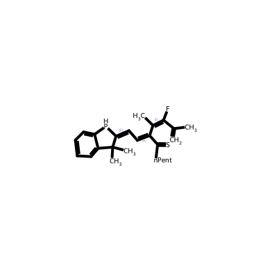 C=C(C)\C(F)=C(C)/C(=C\C=C1\Pc2ccccc2C1(C)C)C(=S)CCCCC